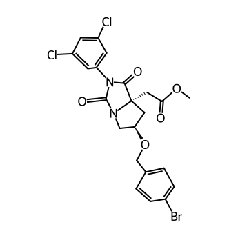 COC(=O)C[C@]12C[C@@H](OCc3ccc(Br)cc3)CN1C(=O)N(c1cc(Cl)cc(Cl)c1)C2=O